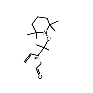 C=C[C@@H](CC=O)C(C)(C)ON1C(C)(C)CCCC1(C)C